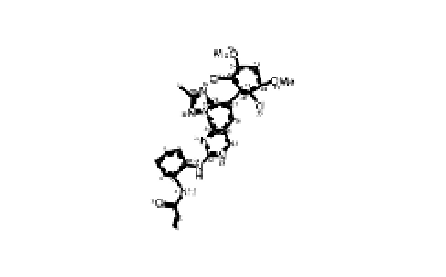 C=CC(=O)Nc1ccccc1Nc1ncc2cc(-c3c(Cl)c(OC)cc(OC)c3Cl)c3nc(C)nn3c2n1